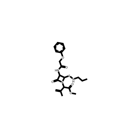 C=C(C)C(C(=O)OC)N1C(=O)C(NC(=O)COc2ccccc2)C1SNCCC